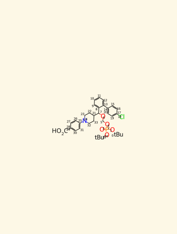 CC(C)(C)OP(=O)(OCOC(c1ccccc1-c1ccc(Cl)cc1)C1CCN(c2ccc(C(=O)O)cc2)CC1)OC(C)(C)C